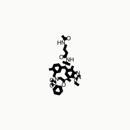 CC[C@@H]1CN(Cc2cc([C@@H](c3ccc4c(nnn4CC)c3C)C(C)(C)NC(=O)CCCNC(C)=O)ccc2C)S(=O)(=O)c2ccccc2O1